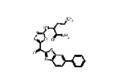 NC(=O)C(CCC(F)(F)F)Nc1nnc(C(=O)c2nc3ccc(-c4ccccc4)cc3s2)o1